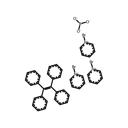 Br[n+]1ccccc1.Br[n+]1ccccc1.Br[n+]1ccccc1.[O-]B([O-])[O-].c1ccc(C(=C(c2ccccc2)c2ccccc2)c2ccccc2)cc1